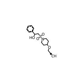 C#CCOC1CCN(S(=O)(=O)CC(O)c2ccccc2)CC1